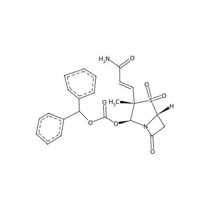 C[C@]1(/C=C/C(N)=O)[C@H](OC(=O)OC(c2ccccc2)c2ccccc2)N2C(=O)C[C@H]2S1(=O)=O